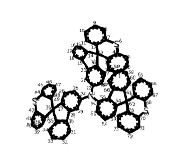 c1ccc2c(c1)Sc1ccccc1C21c2ccccc2-c2cc(N(c3ccc4c(c3)-c3ccccc3C43c4ccccc4Sc4ccccc43)c3cccc4c3-c3ccccc3C43c4ccccc4Sc4ccccc43)ccc21